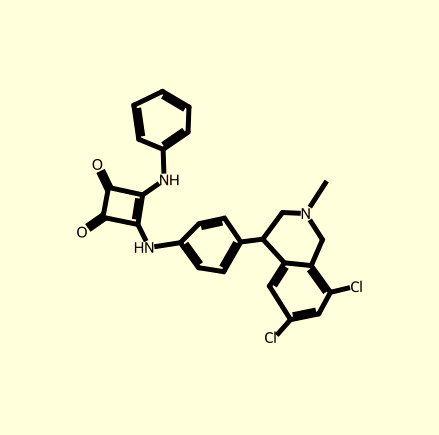 CN1Cc2c(Cl)cc(Cl)cc2C(c2ccc(Nc3c(Nc4ccccc4)c(=O)c3=O)cc2)C1